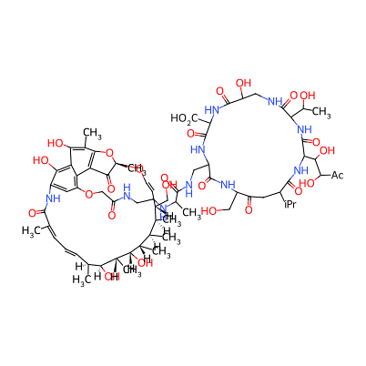 CC(=O)C(O)C(O)C1NC(=O)C(C(C)C)CC(=O)C(CO)NC(=O)C(CNC(=O)C(C)NCCNC(=O)COc2cc3c(O)c4c(O)c(C)c5c(c24)C(=O)[C@@](C)(O/C=C/[C@H](CO)[C@@H](C)[C@@H](C)[C@H](C)[C@H](O)[C@H](C)[C@@H](O)[C@@H](C)/C=C/C=C(/C)C(=O)N3)O5)NC(=O)C(C(=O)O)NC(=O)C(O)CNC(=O)C(C(C)O)NC1=O